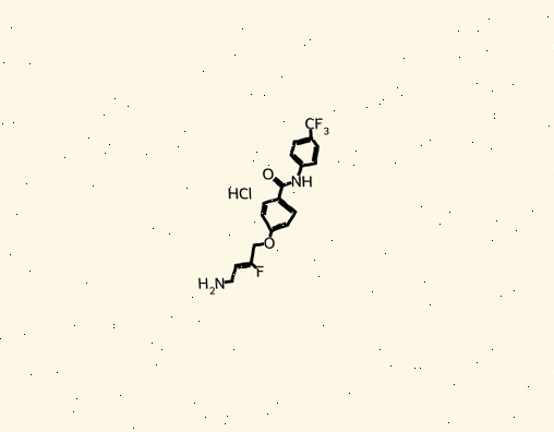 Cl.NCC=C(F)COc1ccc(C(=O)Nc2ccc(C(F)(F)F)cc2)cc1